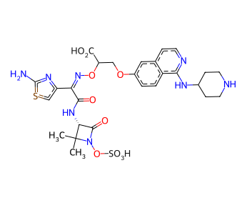 CC1(C)[C@H](NC(=O)/C(=N\OC(COc2ccc3c(NC4CCNCC4)nccc3c2)C(=O)O)c2csc(N)n2)C(=O)N1OS(=O)(=O)O